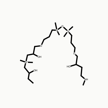 CCC(O)C[N+](C)(C)CC(O)COCCC[Si](C)(C)O[Si](C)(C)CCCOCC(O)CCNC